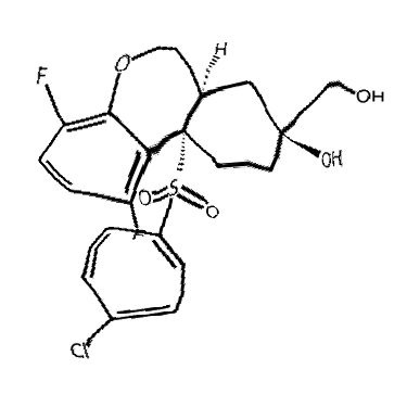 O=S(=O)(c1ccc(Cl)cc1)[C@@]12CC[C@@](O)(CO)C[C@@H]1COc1c(F)ccc(F)c12